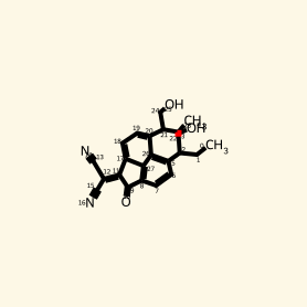 CCC(CO)c1ccc2c(=O)c(=C(C#N)C#N)c3ccc(C(CC)CO)c1c23